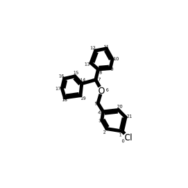 Clc1ccc(COC(c2ccccc2)c2ccccc2)cc1